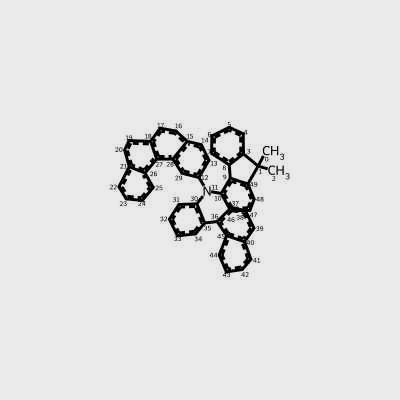 CC1(C)c2ccccc2-c2c(N(c3ccc4ccc5ccc6ccccc6c5c4c3)c3ccccc3-c3cccc4ccccc34)cccc21